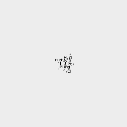 CC(C)N.CC(C)N.[Cl][Pt][Cl]